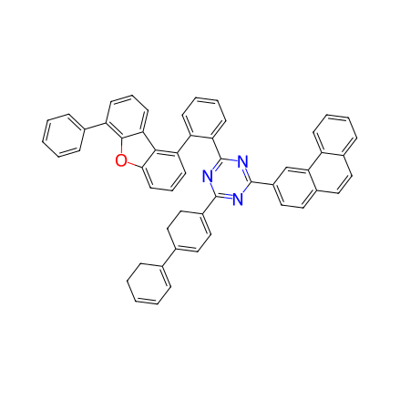 C1=CCCC(C2=CC=C(c3nc(-c4ccc5ccc6ccccc6c5c4)nc(-c4ccccc4-c4cccc5oc6c(-c7ccccc7)cccc6c45)n3)CC2)=C1